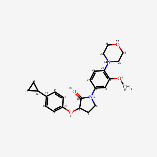 COc1cc(N2CCC(Oc3ccc(C4CC4)cc3)C2=O)ccc1N1CCOCC1